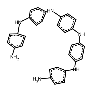 Nc1ccc(Nc2ccc(Nc3ccc(Nc4ccc(Nc5ccc(N)cc5)cc4)cc3)cc2)cc1